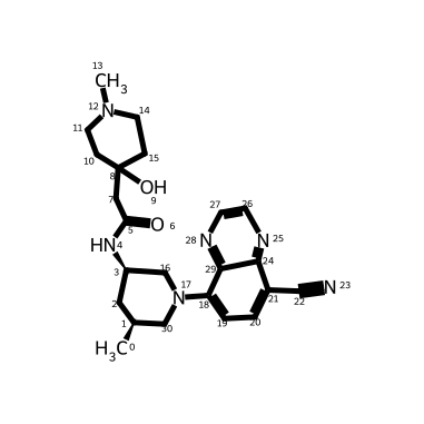 C[C@H]1C[C@@H](NC(=O)CC2(O)CCN(C)CC2)CN(c2ccc(C#N)c3nccnc23)C1